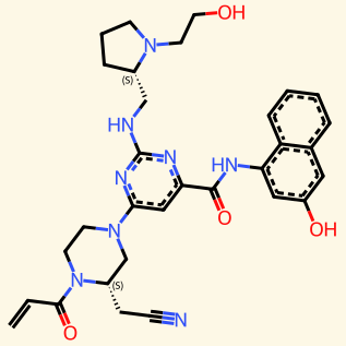 C=CC(=O)N1CCN(c2cc(C(=O)Nc3cc(O)cc4ccccc34)nc(NC[C@@H]3CCCN3CCO)n2)C[C@@H]1CC#N